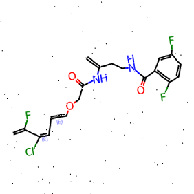 C=C(CCNC(=O)c1cc(F)ccc1F)NC(=O)CO/C=C/C=C(/Cl)C(=C)F